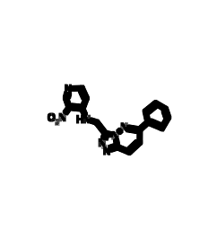 O=[N+]([O-])c1cnccc1NCc1nnc2ccc(-c3ccccc3)nn12